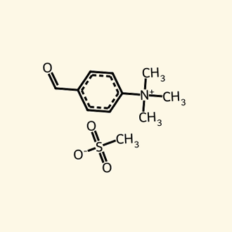 CS(=O)(=O)[O-].C[N+](C)(C)c1ccc(C=O)cc1